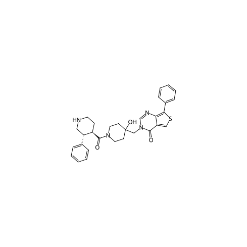 O=C([C@@H]1CCNC[C@H]1c1ccccc1)N1CCC(O)(Cn2cnc3c(-c4ccccc4)scc3c2=O)CC1